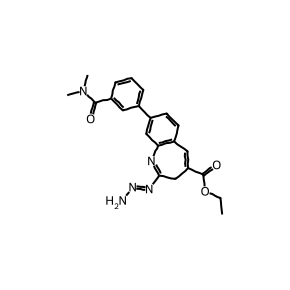 CCOC(=O)C1=Cc2ccc(-c3cccc(C(=O)N(C)C)c3)cc2N=C(N=NN)C1